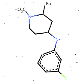 CC(C)(C)C1CC(Nc2cccc(F)c2)CCN1C(=O)O